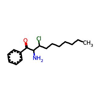 CCCCCCCC(Cl)C(N)C(=O)c1ccccc1